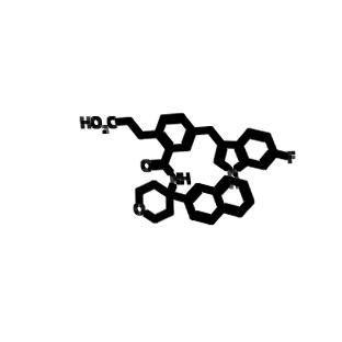 O=C(O)CCc1ccc(Cc2c[nH]c3cc(F)ccc23)cc1C(=O)NC1(c2ccc3ccccc3c2)CCOCC1